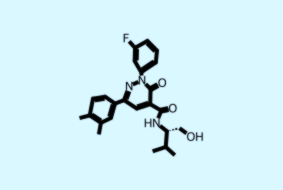 Cc1ccc(-c2cc(C(=O)N[C@H](CO)C(C)C)c(=O)n(-c3cccc(F)c3)n2)cc1C